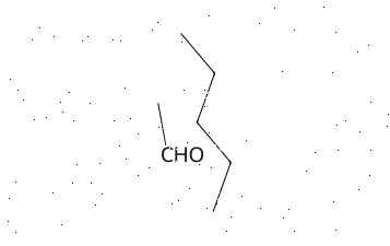 CC=O.CCCCC